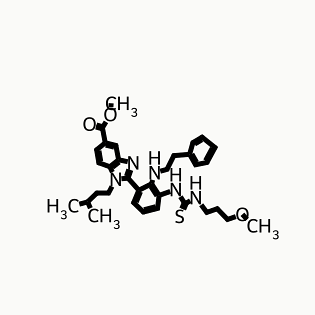 COCCCNC(=S)Nc1cccc(-c2nc3cc(C(=O)OC)ccc3n2CCC(C)C)c1NCCc1ccccc1